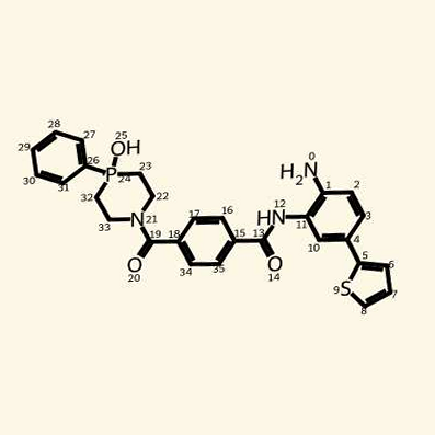 Nc1ccc(-c2cccs2)cc1NC(=O)c1ccc(C(=O)N2CC[P](O)(c3ccccc3)CC2)cc1